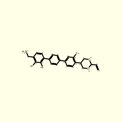 BCc1ccc(-c2ccc(-c3ccc(C4COC(C=C)OC4)c(F)c3)cc2)c(F)c1F